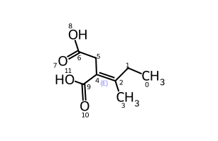 CC/C(C)=C(\CC(=O)O)C(=O)O